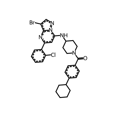 O=C(c1ccc(C2CCCCC2)cc1)N1CCC(Nc2cc(-c3ccccc3Cl)nc3c(Br)cnn23)CC1